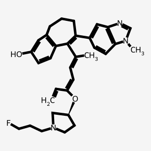 C=C/C(=C\C=C(/C)C1=C(c2ccc3c(c2)ncn3C)CCCc2cc(O)ccc21)O[C@H]1CCN(CCCF)C1